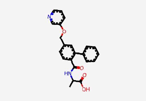 CC(NC(=O)c1ccc(COc2cccnc2)cc1-c1ccccc1)C(=O)O